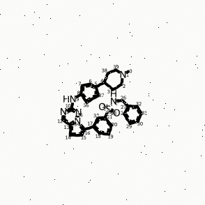 CN1CCC(c2ccc(Nc3ncc4ccc(-c5cccc(S(=O)(=O)NCc6ccccc6)c5)n4n3)cc2)CC1